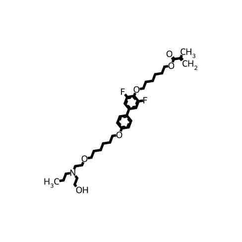 C=C(C)C(=O)OCCCCCCOc1c(F)cc(-c2ccc(OCCCCCCOCCN(CCC)CCO)cc2)cc1F